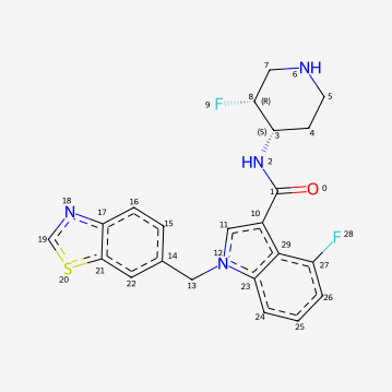 O=C(N[C@H]1CCNC[C@H]1F)c1cn(Cc2ccc3ncsc3c2)c2cccc(F)c12